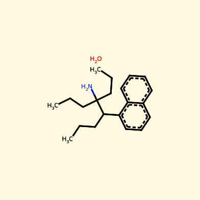 CCCC(c1cccc2ccccc12)C(N)(CCC)CCC.O